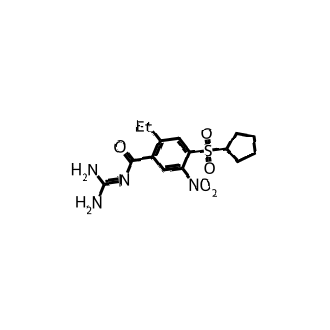 CCc1cc(S(=O)(=O)C2CCCC2)c([N+](=O)[O-])cc1C(=O)N=C(N)N